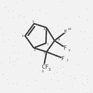 FC(F)(F)C1(F)C2C=CC(C2)C1(F)F